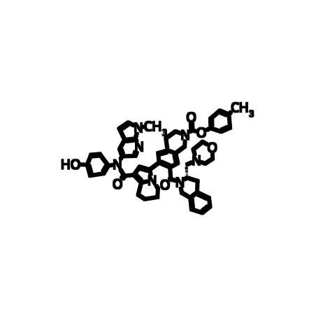 Cc1ccc(OC(=O)N2CCc3cc(-c4cc(C(=O)N(c5ccc(O)cc5)c5cnc6c(ccn6C)c5)c5n4CCCC5)c(C(=O)N4Cc5ccccc5C[C@H]4CN4CCOCC4)cc3C2)cc1